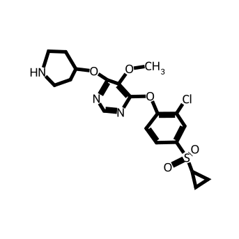 COc1c(Oc2ccc(S(=O)(=O)C3CC3)cc2Cl)ncnc1OC1CCNCC1